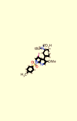 COc1cnc2c(c(I)cn2S(=O)(=O)c2ccc(C)cc2)c1C1=CCCC(N(C(=O)O)C(C)(C)C)C1